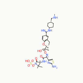 CNC[C@H]1CC[C@@H](NC(=N)c2ccc3c(c2)CC[C@H]([C@@](C)(CO)O/N=C(\C(=O)N[C@@H]2C(=O)N(OS(=O)(=O)O)C2(C)C)c2csc(N)n2)O3)CC1